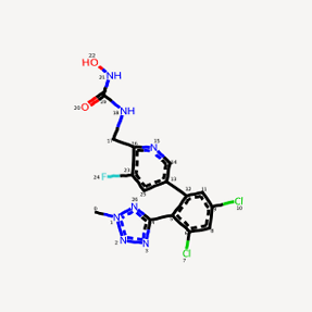 Cn1nnc(-c2c(Cl)cc(Cl)cc2-c2cnc(CNC(=O)NO)c(F)c2)n1